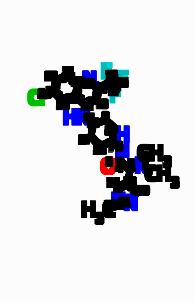 CN(C)C(C(=O)NC1CCC(Nc2cc(C(F)(F)F)nc3ccc(Cl)cc23)CC1)c1cnn(C)c1